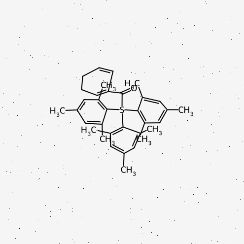 Cc1cc(C)c(S(C(=O)C2=CCCC=C2)(c2c(C)cc(C)cc2C)c2c(C)cc(C)cc2C)c(C)c1